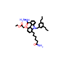 CCCc1cc(CCC)cc(Cn2c3cccc(C(=O)NN)c3c3c(OCC(=O)OCC)ccc(CCCCCC(N)=O)c32)c1